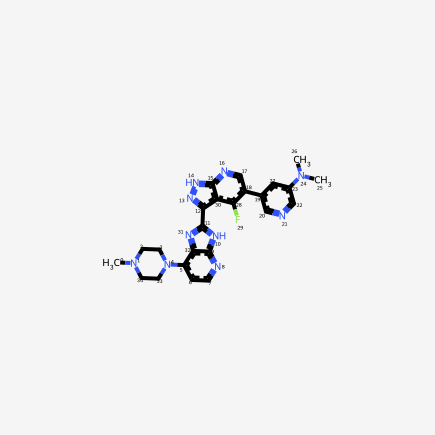 CN1CCN(c2ccnc3[nH]c(-c4n[nH]c5ncc(-c6cncc(N(C)C)c6)c(F)c45)nc23)CC1